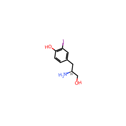 N[C@H](CO)Cc1ccc(O)c(I)c1